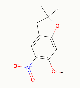 COc1cc2c(cc1[N+](=O)[O-])CC(C)(C)O2